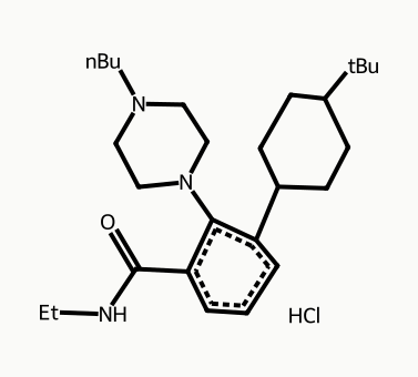 CCCCN1CCN(c2c(C(=O)NCC)cccc2C2CCC(C(C)(C)C)CC2)CC1.Cl